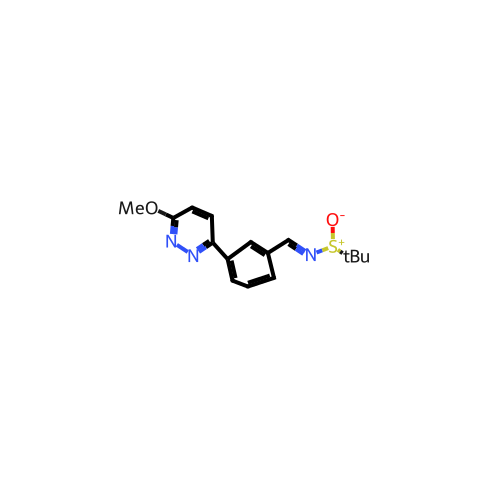 COc1ccc(-c2cccc(C=N[S+]([O-])C(C)(C)C)c2)nn1